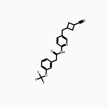 N#CC1CC(Cc2ccc(NC(=O)Cc3cccc(OC(F)(F)F)c3)nc2)C1